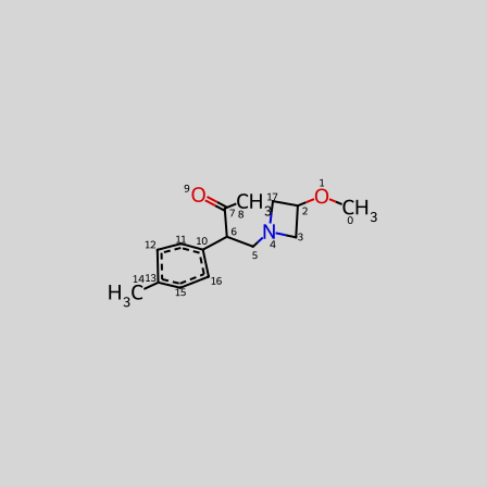 COC1CN(CC(C(C)=O)c2ccc(C)cc2)C1